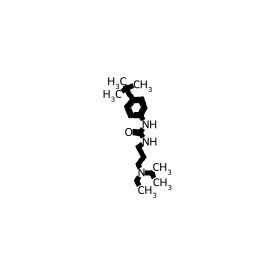 CCN(CCCNC(=O)Nc1ccc(C(C)(C)C)cc1)C(C)C